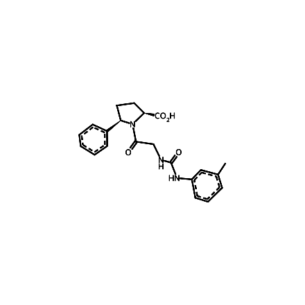 Cc1cccc(NC(=O)NCC(=O)N2[C@@H](c3ccccc3)CC[C@H]2C(=O)O)c1